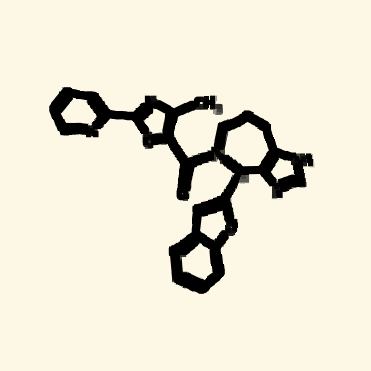 Cc1nc(-c2ccccn2)oc1C(=O)N1CCCc2[nH]cnc2[C@H]1c1cc2ccccc2o1